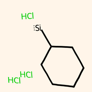 Cl.Cl.Cl.[Si]C1CCCCC1